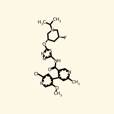 COc1cnc(Cl)cc1-c1cc(C)ncc1C(=O)Nc1nnc(O[C@@H]2C[C@H](F)CN(C(C)C)C2)s1